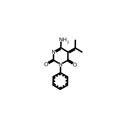 CC(C)=C1C(=O)N(c2ccccc2)C(=O)N=C1N